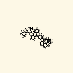 C=C(/C=c1\c(=C)sc2ccccc12)c1c2ccccc2c(-c2ccc3c(c2)-c2ccc4ccc5sc6ccccc6c5c4c2C3(C)C)c2ccccc12